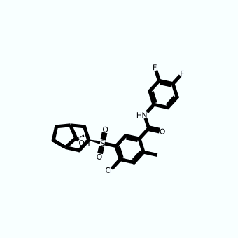 Cc1cc(Cl)c(S(=O)(=O)[C@H]2CC3CCC(C2)[C@@]3(C)O)cc1C(=O)Nc1ccc(F)c(F)c1